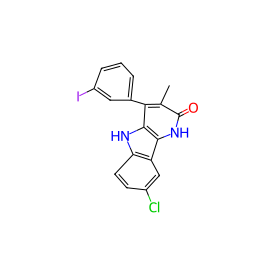 Cc1c(-c2cccc(I)c2)c2[nH]c3ccc(Cl)cc3c2[nH]c1=O